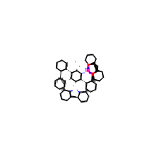 N#Cc1c(-c2ccccc2-c2ccccc2)c(C#N)c(-n2c3ccccc3c3ccccc32)c(-c2ccccc2-c2ccccc2)c1-n1c2ccccc2c2ccccc21